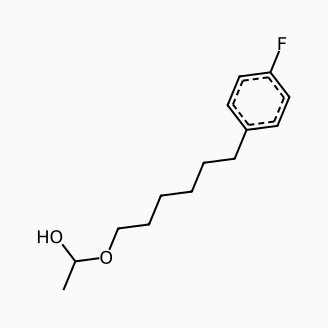 CC(O)OCCCCCCc1ccc(F)cc1